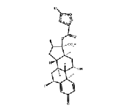 CCc1cc(C(=O)O[C@]2(C(=O)O)[C@H](C)C[C@H]3[C@@H]4C[C@H](F)C5=CC(=O)C=C[C@]5(C)[C@@]4(F)[C@@H](O)C[C@@]32C)no1